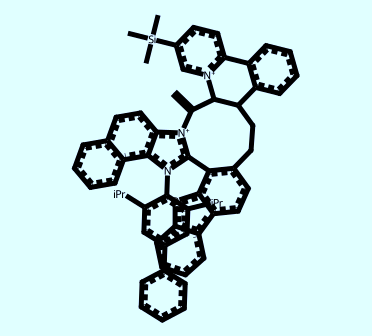 C=C1C2C(CCc3ccc4c(oc5ccccc54)c3-c3n(-c4c(C(C)C)cc(-c5ccccc5)cc4C(C)C)c4c5ccccc5ccc4[n+]31)c1ccccc1-c1ccc([Si](C)(C)C)c[n+]12